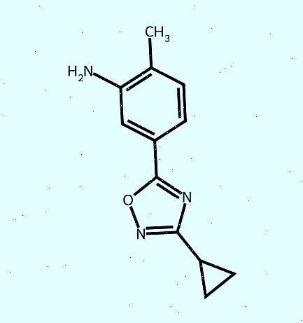 Cc1ccc(-c2nc(C3CC3)no2)cc1N